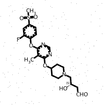 Cc1c(Oc2ccc(S(C)(=O)=O)cc2F)ncnc1OC1CCN(C[C@@H](O)CC=O)CC1